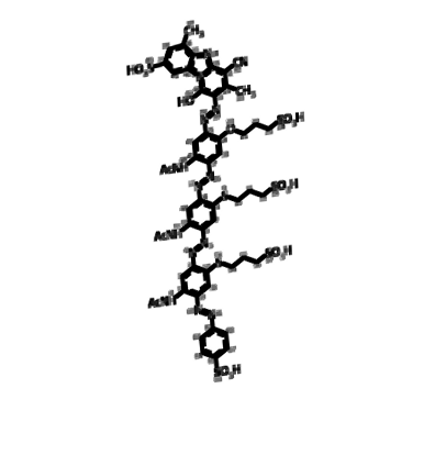 CC(=O)Nc1cc(N=Nc2cc(SCCCS(=O)(=O)O)c(N=Nc3cc(OCCCS(=O)(=O)O)c(N=Nc4c(C)c(C#N)c5nc6c(C)cc(S(=O)(=O)O)cc6n5c4O)cc3NC(C)=O)cc2NC(C)=O)c(SCCCS(=O)(=O)O)cc1N=Nc1ccc(S(=O)(=O)O)cc1